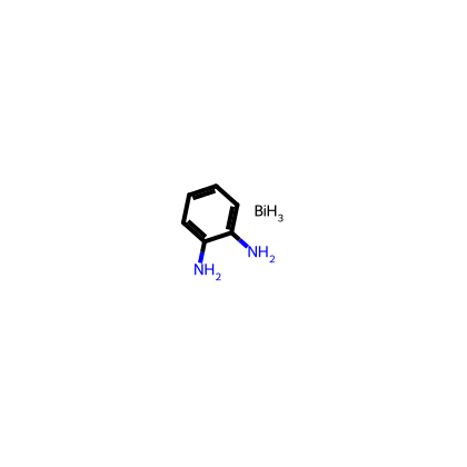 Nc1ccccc1N.[BiH3]